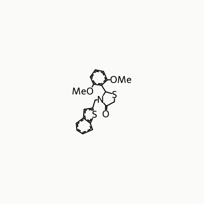 COc1cccc(OC)c1C1SCC(=O)N1Cc1cc2ccccc2s1